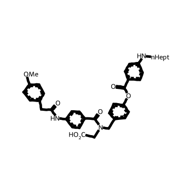 CCCCCCCNc1ccc(C(=O)Oc2ccc(CN(CC(=O)O)C(=O)c3ccc(NC(=O)Cc4ccc(OC)cc4)cc3)cc2)cc1